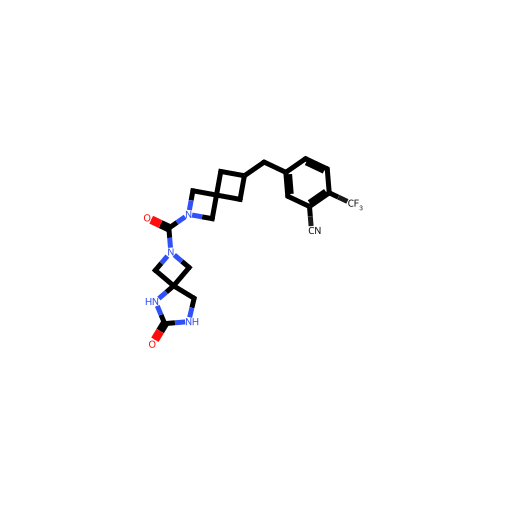 N#Cc1cc(CC2CC3(C2)CN(C(=O)N2CC4(CNC(=O)N4)C2)C3)ccc1C(F)(F)F